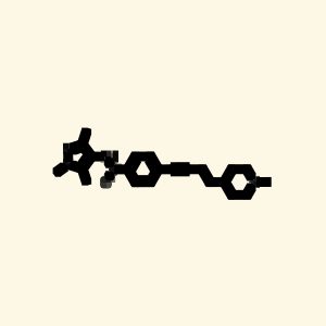 Cc1nn(C)c(C)c1N[S+]([O-])c1ccc(C#CCCC2CCN(C)CC2)cc1